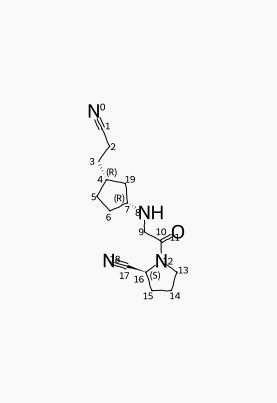 N#CCC[C@H]1CC[C@@H](NCC(=O)N2CCC[C@H]2C#N)C1